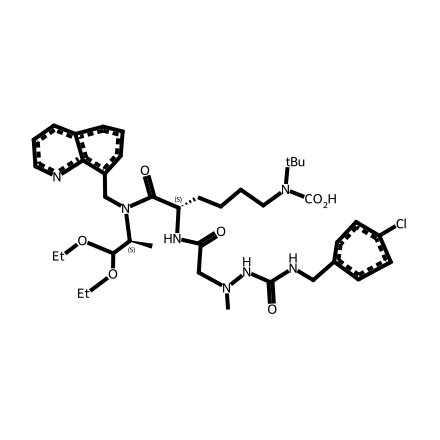 CCOC(OCC)[C@H](C)N(Cc1cccc2cccnc12)C(=O)[C@H](CCCCN(C(=O)O)C(C)(C)C)NC(=O)CN(C)NC(=O)NCc1ccc(Cl)cc1